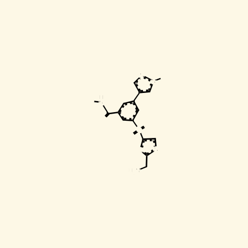 CC(C)NC(=O)c1cc(-c2cnn(C)c2)cc(S(=O)(=O)c2cnc(CN)s2)c1